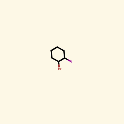 BrC1CCCCC1I